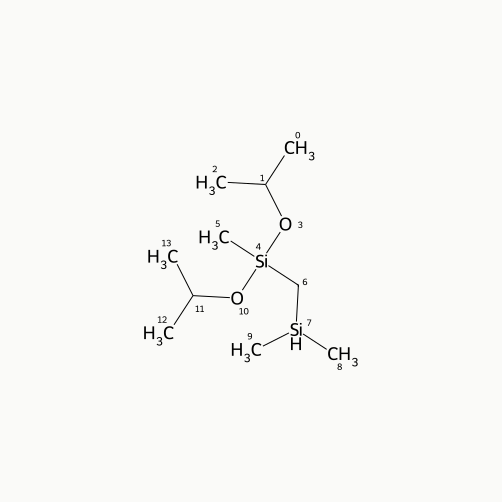 CC(C)O[Si](C)(C[SiH](C)C)OC(C)C